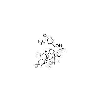 C[C@]12C[C@H](O)[C@@]3(F)[C@@H](C[C@H](F)C4=CC(=O)C=C[C@@]43C)C1CC(N(O)c1ccc(Cl)c(C(F)(F)F)c1)[C@@H]2C(=O)CO